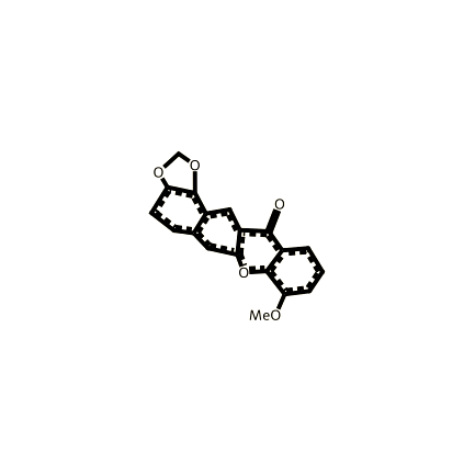 COc1cccc2c(=O)c3cc4c5c(ccc4cc3oc12)OCO5